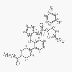 CNC(=O)C1CCN(c2ccccc2Cn2ccnc2NC(=O)C2CN(C(C)(C)C)C[C@H]2c2ccc(F)cc2F)CC1